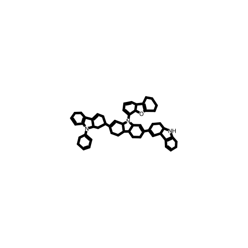 C1=CCCC(N2C3=C(CCC=C3)C3=CCC(C4=CC5C(CC4)C4CCC(C6=CC7C8=C(CCC=C8)NC7CC6)=CC4N5C4=CC=CC5C6=C(CCCC6)OC45)CC32)=C1